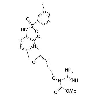 COC(=O)N(OCCNC(=O)Cn1c(C)ccc(NS(=O)(=O)c2cccc(C)c2)c1=O)C(=N)N